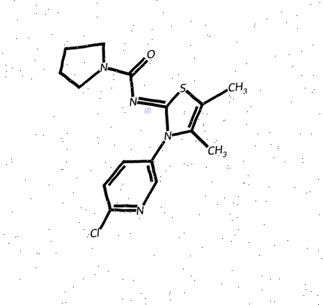 Cc1s/c(=N\C(=O)N2CCCC2)n(-c2ccc(Cl)nc2)c1C